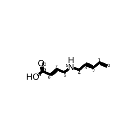 C=C/C=C/CNC/C=C/C(=O)O